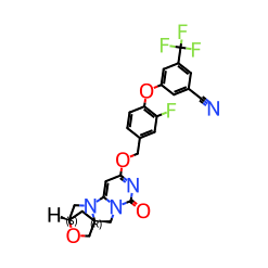 N#Cc1cc(Oc2ccc(COc3cc4n(c(=O)n3)C[C@]35CO[C@H](CN43)C5)cc2F)cc(C(F)(F)F)c1